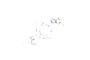 Nc1nc2c(nnn2[C@@H]2O[C@@H]3COP(O)(=S)O[C@H]4[C@H](F)[C@H](n5nnc6c(N)ccnc65)O[C@@H]4COP(O)(=S)O[C@@H]2C3)c(=O)[nH]1